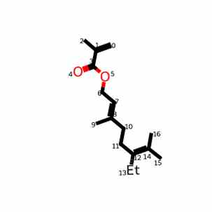 C=C(C)C(=O)OC/C=C(\C)CCC(CC)=C(C)C